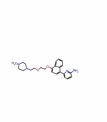 CN1CCN(CCOCCOc2ccc(-c3cccc(N)n3)c3ccccc23)CC1